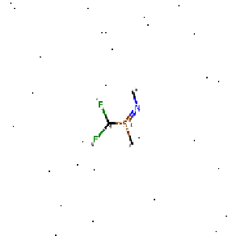 CN=S(C)C(F)F